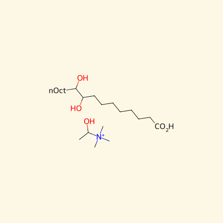 CC(O)[N+](C)(C)C.CCCCCCCCC(O)C(O)CCCCCCCC(=O)O